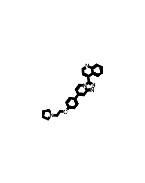 c1ccc2c(-c3nnc4cc(-c5ccc(OCCN6CCCC6)cc5)ccn34)ccnc2c1